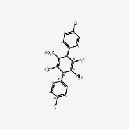 CC1=C(C(=O)O)C(c2ccc(Cl)cc2)C(C#N)=C(N)N1c1ccc(Cl)cc1